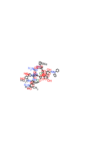 CN[C@H](CC(C)C)C(=O)NC1C(=O)NC(CC(N)=O)C(=O)N[C@H]2C(=O)N[C@H]3C(=O)N[C@H](C(=O)NC(C(=O)O)c4cc(O)cc(O)c4-c4cc3ccc4O)[C@H](O[C@H]3C[C@](C)(N)[C@@H](O)[C@H](C)O3)c3ccc(c(Cl)c3)Oc3cc2cc(c3O[C@@H]2O[C@H](CO)[C@@H](O[C@@H]3O[C@H](CNCC(c4ccccc4)c4ccccc4)[C@H](O)[C@H](O)[C@H]3O)[C@H](O)[C@H]2O)Oc2ccc(cc2Cl)[C@H]1O